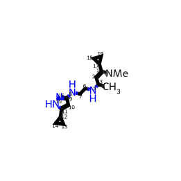 CN/C(=C\C(C)NCCNc1cc(C2CC2)[nH]n1)C1CC1